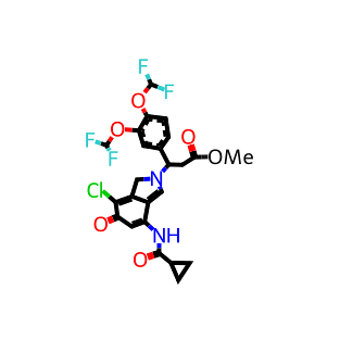 COC(=O)CC(c1ccc(OC(F)F)c(OC(F)F)c1)N1C=C2C(NC(=O)C3CC3)=CC(=O)C(Cl)=C2C1